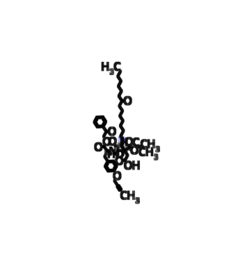 CC#CCOc1ccc(C[C@H](NC(=O)[C@@H](/C=C/CCCCCCC(=O)CCCCCCC)[C@@](O)(CC(=O)O)C(=O)OC(C)(C)C)C(=O)OCC(=O)c2ccccc2)cc1